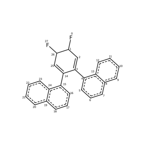 FC1C=C(c2cccc3ccccc23)C(c2cccc3ccccc23)=CC1F